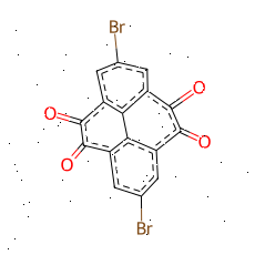 O=c1c(=O)c2cc(Br)cc3c2-c2c1cc(Br)cc2c(=O)c3=O